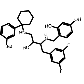 CC(C)(C)c1cccc(C2(NCC(O)C(Cc3cc(F)cc(F)c3)NCc3ccc(O)cc3O)CCCCC2)c1